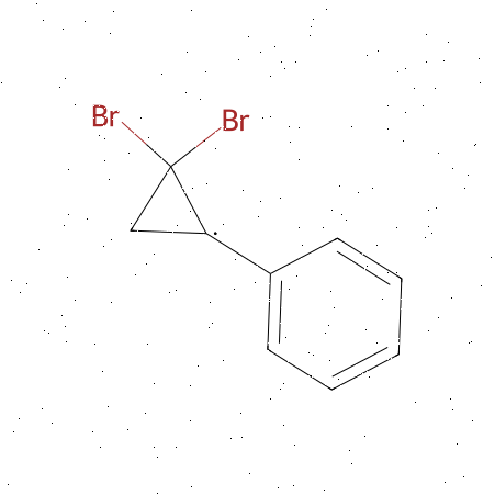 BrC1(Br)C[C]1c1ccccc1